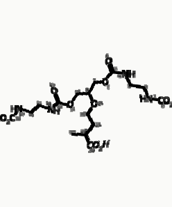 CCOC(=O)NCCNC(=O)OCC(COC(=O)NCCNC(=O)OCC)OCCC(C)C(=O)O